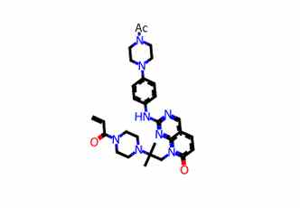 C=CC(=O)N1CCN(C(C)(C)Cn2c(=O)ccc3cnc(Nc4ccc(N5CCN(C(C)=O)CC5)cc4)nc32)CC1